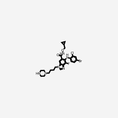 O=C(NOCC1CC1)c1cc2c(ncn2CCCCN2CCNCC2)c(F)c1Nc1ccc(Br)cc1Cl